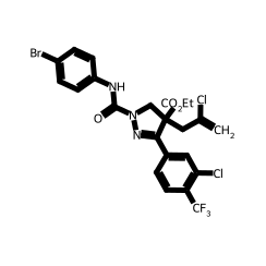 C=C(Cl)CC1(C(=O)OCC)CN(C(=O)Nc2ccc(Br)cc2)N=C1c1ccc(C(F)(F)F)c(Cl)c1